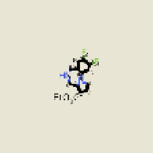 CCOC(=O)c1ccn2c1CNCc1cc(F)c(F)cc1-2